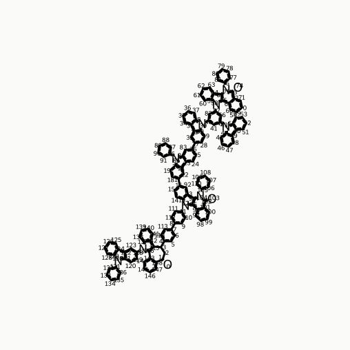 O=C1CC(c2ccc(-c3ccc(-n4c5ccc(-c6ccc7c(c6)c6ccc(-c8ccc9c(c8)c8ccccc8n9-c8cc(-n9c%10ccccc%10c%10ccccc%109)cc(-n9c%10ccccc%10c%10c9c9ccccc9c(=O)n%10-c9ccccc9)c8)cc6n7-c6ccccc6)cc5c5c4c4ccccc4c(=O)n5-c4ccccc4)cc3)cc2)c2c(n(-c3ccc4c(c3)c3ccccc3n4-c3ccccc3)c3ccccc23)-c2ccccc21